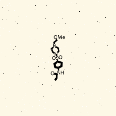 C=CC(=O)Nc1ccc(S(=O)(=O)N2CCN(CCOC)CC2)cc1